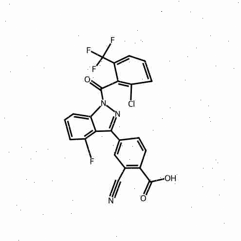 N#Cc1cc(-c2nn(C(=O)c3c(Cl)cccc3C(F)(F)F)c3cccc(F)c23)ccc1C(=O)O